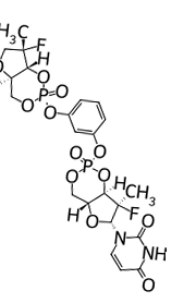 C[C@@]1(F)[C@@H]2OP(=O)(Oc3cccc(OP4(=O)OC[C@H]5OC[C@](C)(F)[C@@H]5O4)c3)OC[C@H]2O[C@H]1n1ccc(=O)[nH]c1=O